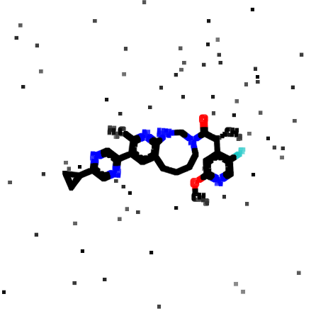 COc1cc([C@@H](C)C(=O)N2CCCCc3cc(-c4cnc(C5CC5)cn4)c(C)nc3NC2)c(F)cn1